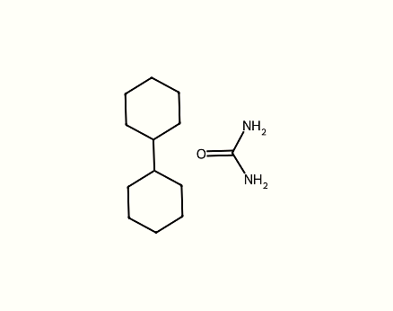 C1CCC(C2CCCCC2)CC1.NC(N)=O